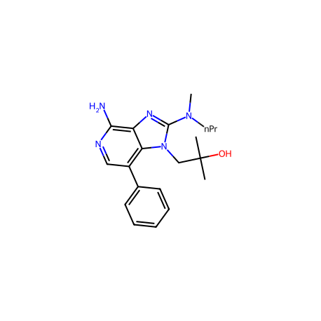 CCCN(C)c1nc2c(N)ncc(-c3ccccc3)c2n1CC(C)(C)O